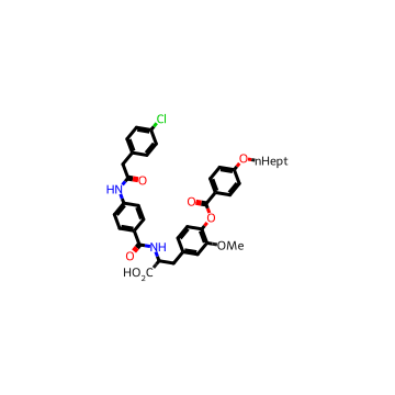 CCCCCCCOc1ccc(C(=O)Oc2ccc(CC(NC(=O)c3ccc(NC(=O)Cc4ccc(Cl)cc4)cc3)C(=O)O)cc2OC)cc1